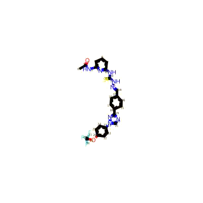 CC(=O)Nc1cccc(NC(=S)N/N=C/c2ccc(-c3ncn(-c4ccc(OC(F)(F)F)cc4)n3)cc2)n1